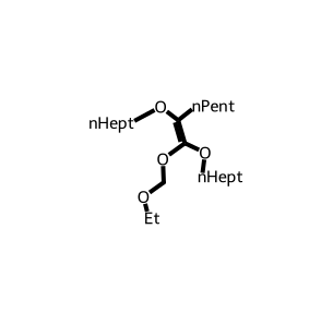 CCCCCCCOC(CCCCC)=C(OCCCCCCC)OCOCC